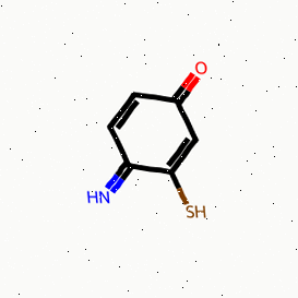 N=C1C=CC(=O)C=C1S